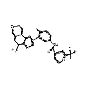 Cc1ccc(NC(=O)c2ccnc(C(F)(F)F)c2)cc1-c1cnc2c(c1)N1CCOCC1CC2N